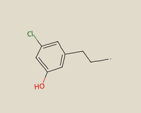 [CH2]CCc1cc(O)cc(Cl)c1